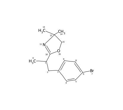 CC(Cc1ccc(Br)cc1)C1=NC(C)(C)CO1